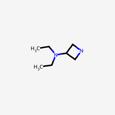 CCN(CC)C1C[N]C1